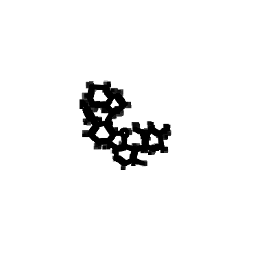 Cc1ccc2c(oc3c(-c4cccc5ccccc45)c(C#N)ccc32)c1-c1ccc(F)c[n+]1C